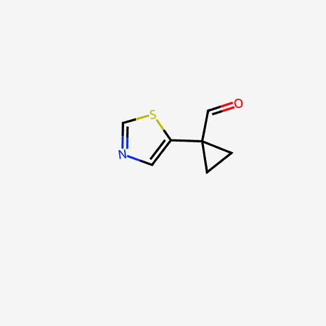 O=CC1(c2cncs2)CC1